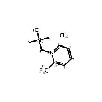 C[Si](C)(Cl)C[n+]1ccccc1C(F)(F)F.[Cl-]